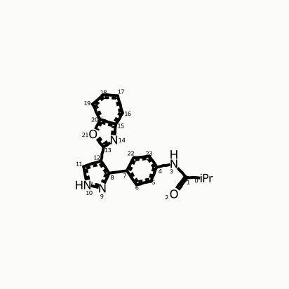 CC(C)C(=O)Nc1ccc(-c2n[nH]cc2-c2nc3ccccc3o2)cc1